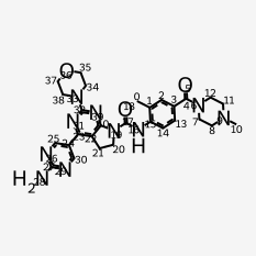 Cc1cc(C(=O)N2CCN(C)CC2)ccc1NC(=O)N1CCc2c(-c3cnc(N)nc3)nc(N3CCOCC3)nc21